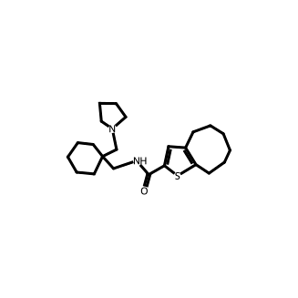 O=C(NCC1(CN2CCCC2)CCCCC1)c1cc2c(s1)CCCCCC2